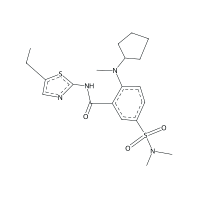 CCc1cnc(NC(=O)c2cc(S(=O)(=O)N(C)C)ccc2N(C)C2CCCC2)s1